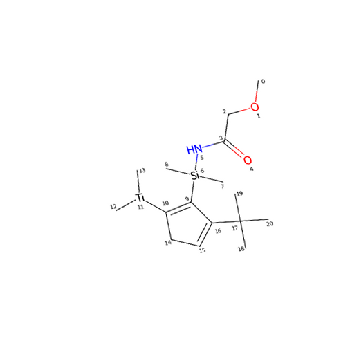 COCC(=O)N[Si](C)(C)C1=[C]([Ti]([CH3])[CH3])CC=C1C(C)(C)C